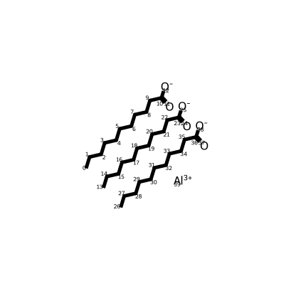 CCCCCCCCCCC(=O)[O-].CCCCCCCCCCC(=O)[O-].CCCCCCCCCCC(=O)[O-].[Al+3]